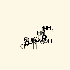 NN=CNc1ccc(O)c(C(=O)NCC(=O)NC(Cc2cc(Cl)cc(Cl)c2)C(=O)O)c1